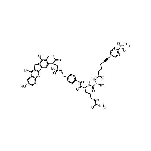 CCc1c2c(nc3ccc(O)cc13)-c1cc3c(c(=O)n1C2)COC(=O)[C@@]3(CC)CC(=O)OCc1ccc(NC(=O)[C@H](CCCNC(N)=O)NC(=O)[C@@H](NC(=O)CCCC#Cc2cnc(S(C)(=O)=O)nc2)C(C)C)cc1